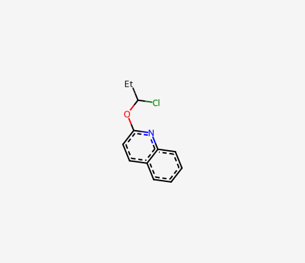 CCC(Cl)Oc1ccc2ccccc2n1